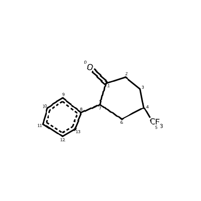 O=C1CCC(C(F)(F)F)CC1c1ccccc1